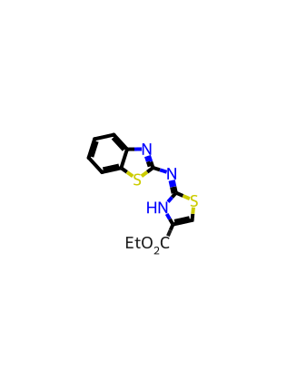 CCOC(=O)c1cs/c(=N/c2nc3ccccc3s2)[nH]1